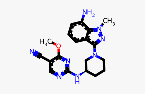 COc1nc(N[C@@H]2CCCN(c3nn(C)c4c(N)cccc34)C2)ncc1C#N